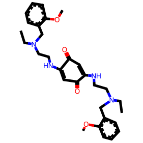 CCN(CCNC1=CC(=O)C(NCCN(CC)Cc2ccccc2OC)=CC1=O)Cc1ccccc1OC